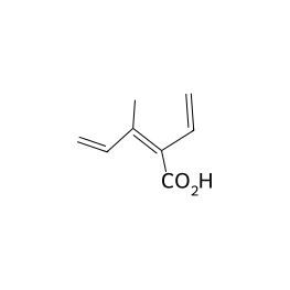 C=CC(C)=C(C=C)C(=O)O